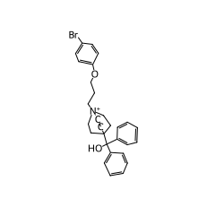 OC(c1ccccc1)(c1ccccc1)C12CC[N+](CCCOc3ccc(Br)cc3)(CC1)CC2